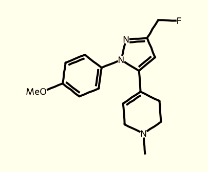 COc1ccc(-n2nc(CF)cc2C2=CCN(C)CC2)cc1